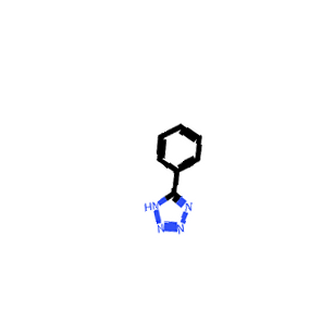 [c]1ccc(-c2nnn[nH]2)cc1